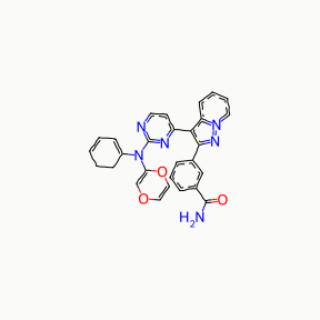 NC(=O)c1cccc(-c2nn3ccccc3c2-c2ccnc(N(C3=CC=CCC3)C3=COC=CO3)n2)c1